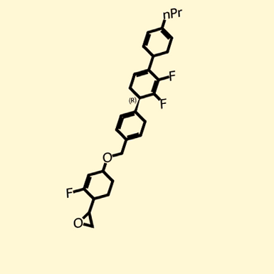 CCCC1=CCC(C2=CC[C@H](C3=C=CC(COC4C=C(F)C(C5CO5)CC4)=CC3)C(F)=C2F)C=C1